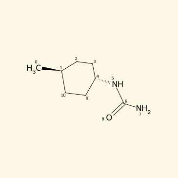 C[C@H]1CC[C@H](NC(N)=O)CC1